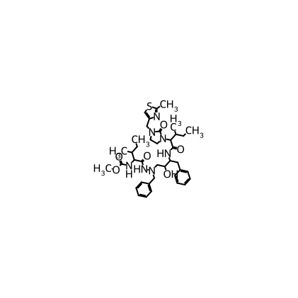 CCC(C)C(NC(=O)OC)C(=O)NN(Cc1ccccc1)CC(O)C(Cc1ccccc1)NC(=O)C(C(C)CC)N1CCN(Cc2csc(C)n2)C1=O